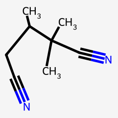 CC(CC#N)C(C)(C)C#N